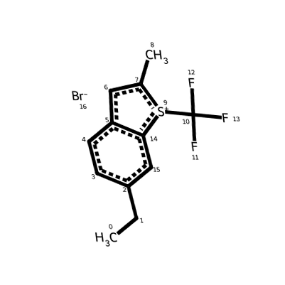 CCc1ccc2cc(C)[s+](C(F)(F)F)c2c1.[Br-]